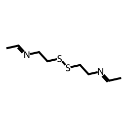 C/C=N/CCSSCC/N=C/C